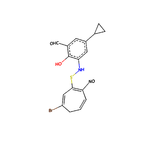 O=Cc1cc(C2CC2)cc(NSC2=C(N=O)C=CCC(Br)=C2)c1O